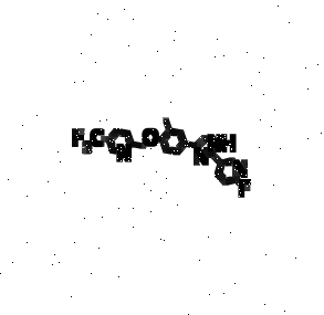 Cc1cc(-c2c[nH]c(-c3ccc(F)nc3)n2)ccc1OCc1ccc(C(F)(F)F)cn1